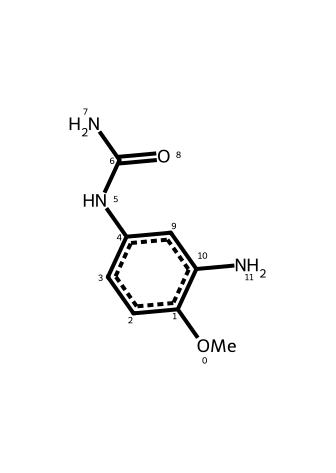 COc1ccc(NC(N)=O)cc1N